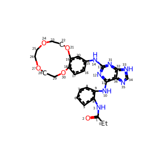 CCC(=O)Nc1ccccc1Nc1nc(Nc2ccc3c(c2)OCCOCCOCCO3)nc2[nH]cnc12